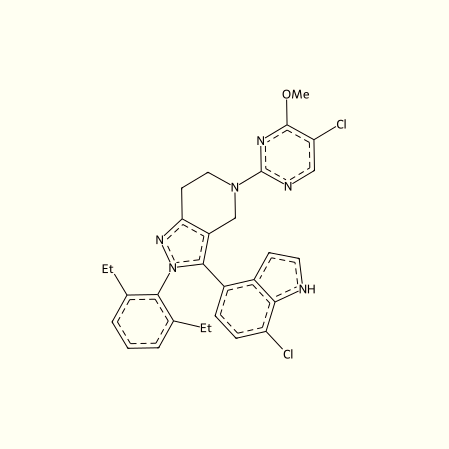 CCc1cccc(CC)c1-n1nc2c(c1-c1ccc(Cl)c3[nH]ccc13)CN(c1ncc(Cl)c(OC)n1)CC2